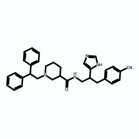 N#Cc1ccc(CC(CNC(=O)C2CCCN(CC(c3ccccc3)c3ccccc3)C2)c2cnc[nH]2)cc1